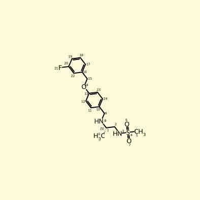 C[C@@H](CNS(C)(=O)=O)NCc1ccc(OCc2cccc(F)c2)cc1